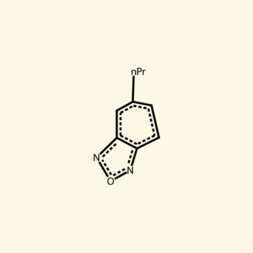 CCCc1ccc2nonc2c1